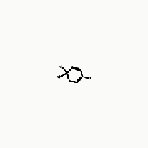 ClC1(Cl)C=CC(I)=CC1